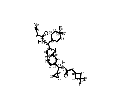 N#CCC(=O)N[C@H](c1cn2ncc(C(NC(=O)CC3CC(F)(F)C3)C3CC3)cc2n1)C1CCC(F)(F)CC1